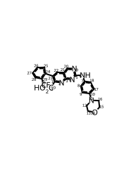 O=C(O)c1nc2nc(Nc3ccc(N4CCOCC4)cc3)ncc2cc1-c1ccccc1C(F)(F)F